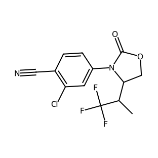 CC(C1COC(=O)N1c1ccc(C#N)c(Cl)c1)C(F)(F)F